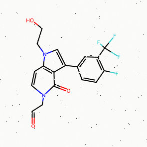 O=CCn1ccc2c(c(-c3ccc(F)c(C(F)(F)F)c3)cn2CCO)c1=O